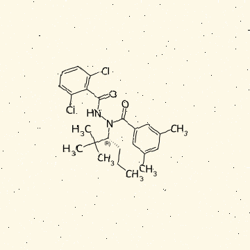 CCC[C@@H](N(NC(=O)c1c(Cl)cccc1Cl)C(=O)c1cc(C)cc(C)c1)C(C)(C)C